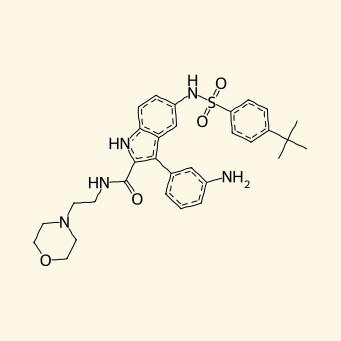 CC(C)(C)c1ccc(S(=O)(=O)Nc2ccc3[nH]c(C(=O)NCCN4CCOCC4)c(-c4cccc(N)c4)c3c2)cc1